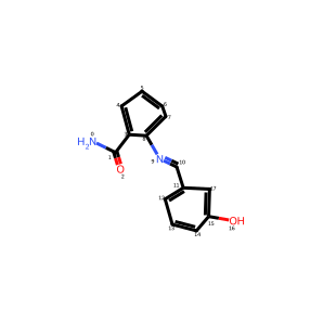 NC(=O)c1ccccc1/N=C/c1cccc(O)c1